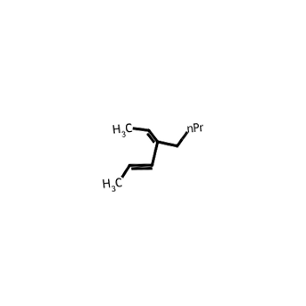 CC=CC(=CC)CCCC